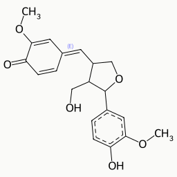 COC1=C/C(=C/C2COC(c3ccc(O)c(OC)c3)C2CO)C=CC1=O